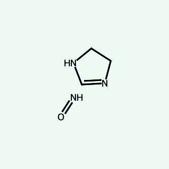 C1=NCCN1.N=O